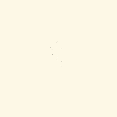 OC[C@H]1O[C@@H](NC(=S)N2CCSCC2)[C@H](O)[C@@H](O)[C@@H]1O